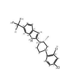 C[C@@H]1CN(c2ncc(Cl)cc2Cl)CCN1c1nc2ccc(C(F)(F)F)cc2[nH]1